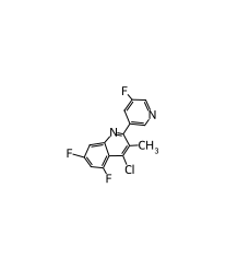 Cc1c(-c2cncc(F)c2)nc2cc(F)cc(F)c2c1Cl